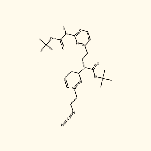 CN(C(=O)OC(C)(C)C)c1cccc(CCN(C(=O)OC(C)(C)C)C2CC=CC(CCN=[N+]=[N-])=N2)n1